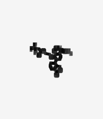 COc1ccc(-c2cccc3c2COC3=O)c(OCCOC(=O)CC(F)(F)F)c1OC